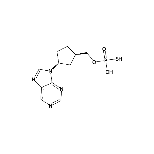 O=P(O)(S)OC[C@@H]1CC[C@H](n2cnc3cncnc32)C1